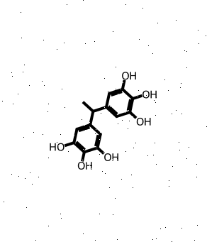 CC(c1cc(O)c(O)c(O)c1)c1cc(O)c(O)c(O)c1